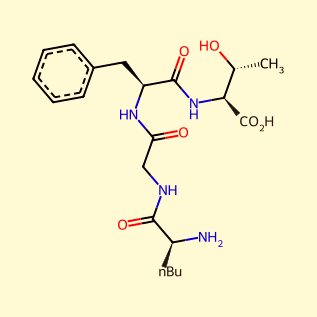 CCCC[C@H](N)C(=O)NCC(=O)N[C@@H](Cc1ccccc1)C(=O)N[C@H](C(=O)O)[C@@H](C)O